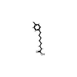 Cc1ccc(CCCCCCCC(=O)O)cc1